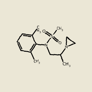 Cc1cccc(C)c1N(CC(C)N1CC1)S(C)(=O)=O